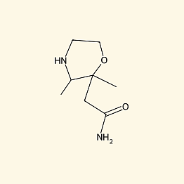 CC1NCCOC1(C)CC(N)=O